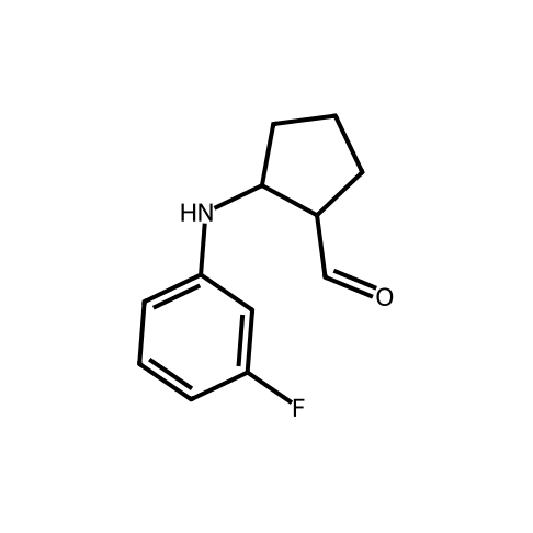 O=CC1CCCC1Nc1cccc(F)c1